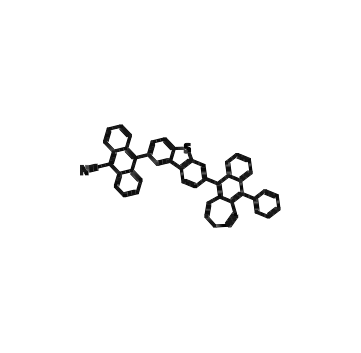 N#Cc1c2ccccc2c(-c2ccc3sc4cc(-c5c6c(c(-c7ccccc7)c7ccccc57)C#CCC=C6)ccc4c3c2)c2ccccc12